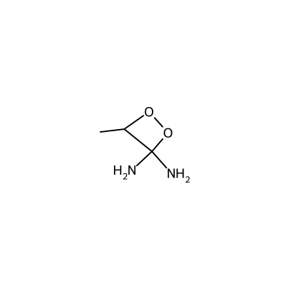 CC1OOC1(N)N